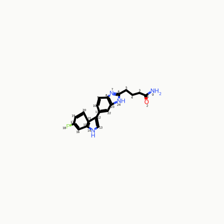 NC(=O)CCCc1nc2ccc(-c3c[nH]c4cc(F)ccc34)cc2[nH]1